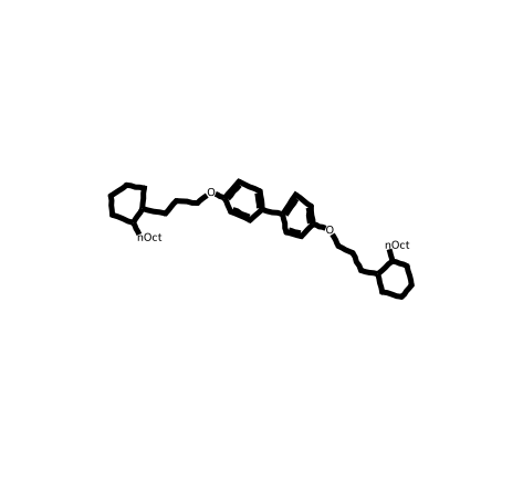 CCCCCCCCC1CCCCC1CCCOc1ccc(-c2ccc(OCCCC3CCCCC3CCCCCCCC)cc2)cc1